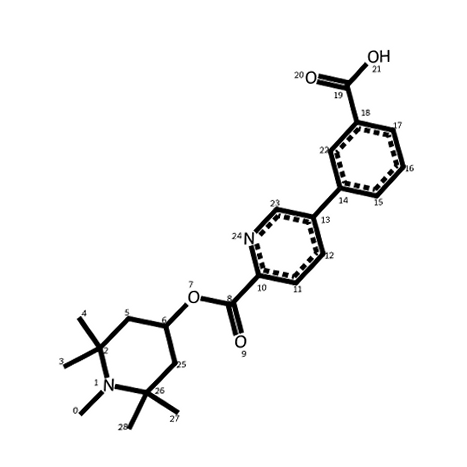 CN1C(C)(C)CC(OC(=O)c2ccc(-c3cccc(C(=O)O)c3)cn2)CC1(C)C